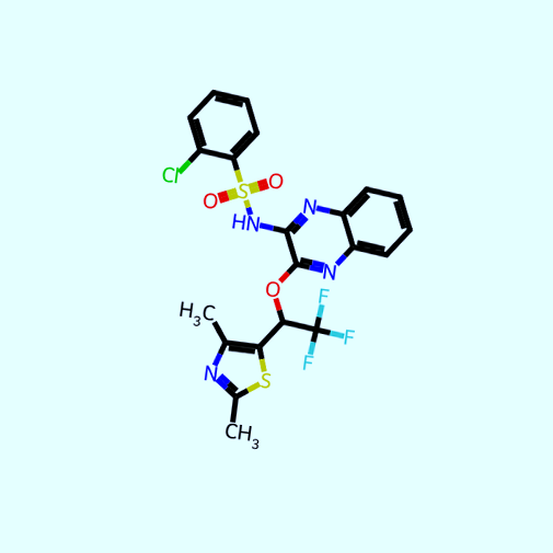 Cc1nc(C)c(C(Oc2nc3ccccc3nc2NS(=O)(=O)c2ccccc2Cl)C(F)(F)F)s1